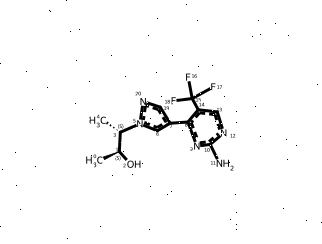 C[C@H](O)[C@H](C)n1cc(-c2nc(N)ncc2C(F)(F)F)cn1